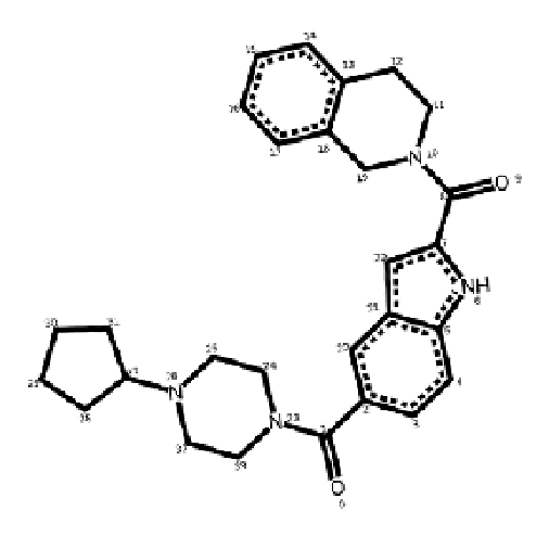 O=C(c1ccc2[nH]c(C(=O)N3CCc4ccccc4C3)cc2c1)N1CCN(C2CCCC2)CC1